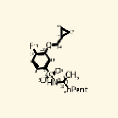 CCCCC[C@H](C)NS(=O)(=O)c1ccc(F)c(OCC2CC2)c1